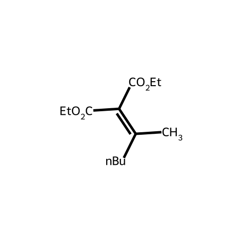 CCCCC(C)=C(C(=O)OCC)C(=O)OCC